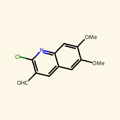 COc1cc2cc(C=O)c(Cl)nc2cc1OC